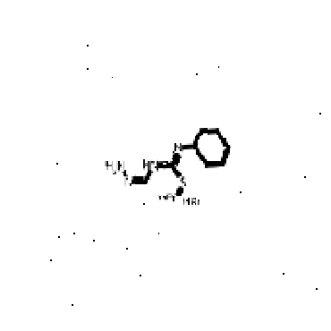 Br.CCCS/C(=N\C1CCCCC1)N/C=N\N